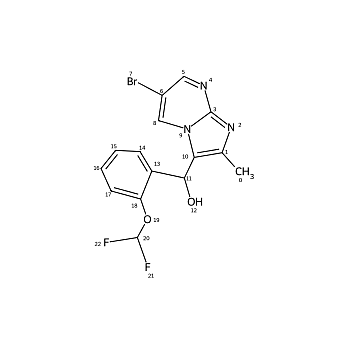 Cc1nc2ncc(Br)cn2c1C(O)c1ccccc1OC(F)F